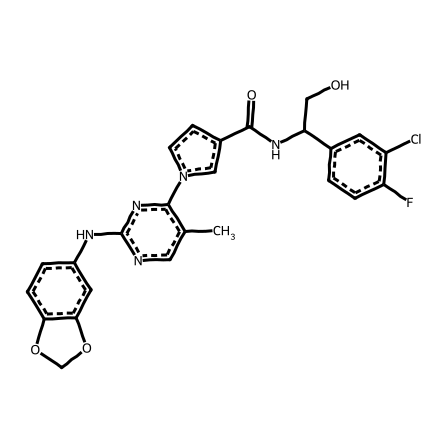 Cc1cnc(Nc2ccc3c(c2)OCO3)nc1-n1ccc(C(=O)NC(CO)c2ccc(F)c(Cl)c2)c1